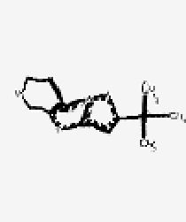 CC(C)(C)c1cc2oc3c(n2n1)CCNC3